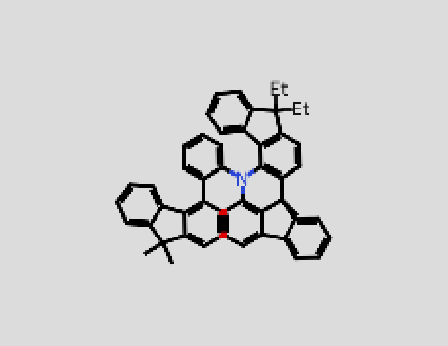 CCC1(CC)c2ccccc2-c2c1ccc1c2N(c2ccccc2-c2cccc3c2-c2ccccc2C3(C)C)c2cccc3c2C1(C)c1ccccc1-3